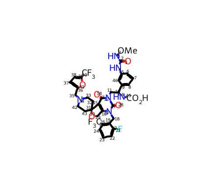 CONC(=O)Nc1cccc(C(Cn2c(=O)c3c(n(Cc4c(F)cccc4C(F)(F)F)c2=O)COC32CCN(Cc3ccc(C(F)(F)F)o3)CC2)NC(=O)O)c1